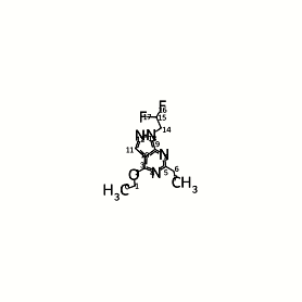 CCOc1nc(CC)nc2c1cnn2CC(F)F